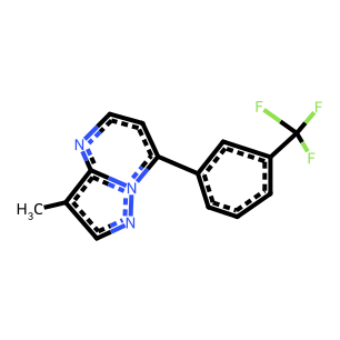 Cc1cnn2c(-c3cccc(C(F)(F)F)c3)ccnc12